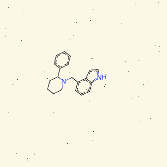 c1ccc(C2CCCCN2Cc2cccc3[nH]ccc23)cc1